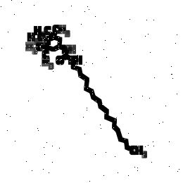 CCCCCCCCCCCCCCCCCCNC(=O)NC1CC(C)(C)N(C)C(C)(C)C1